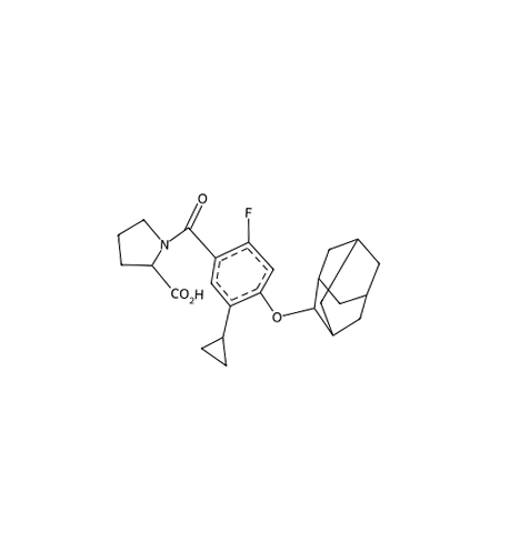 O=C(O)C1CCCN1C(=O)c1cc(C2CC2)c(OC2C3CC4CC(C3)CC2C4)cc1F